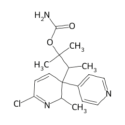 CC1N=C(Cl)C=CC1(c1ccncc1)C(C)C(C)(C)OC(N)=O